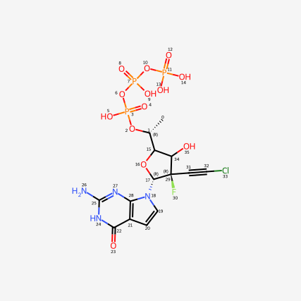 C[C@@H](OP(=O)(O)OP(=O)(O)OP(=O)(O)O)C1O[C@@H](n2ccc3c(=O)[nH]c(N)nc32)[C@@](F)(C#CCl)C1O